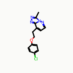 Cc1nnc2c(CCOc3ccc(Cl)cc3)ccnn12